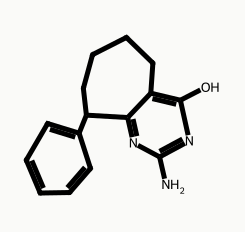 Nc1nc(O)c2c(n1)C(c1ccccc1)CCCC2